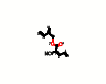 C=CC=C(C#N)C(=O)OCC(=C)C=C